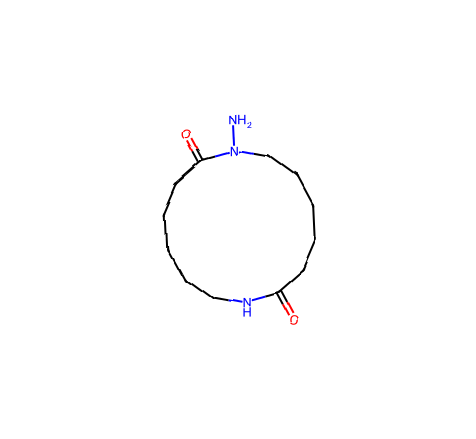 NN1CCCCCC(=O)NCCCCCC1=O